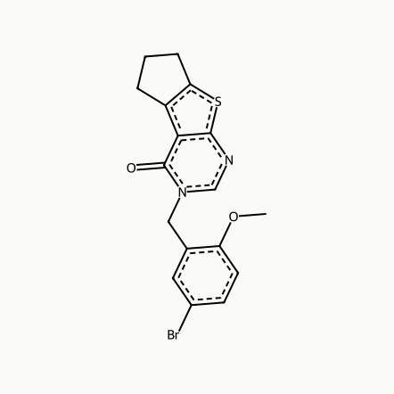 COc1ccc(Br)cc1Cn1cnc2sc3c(c2c1=O)CCC3